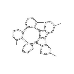 Cc1ccc2c(c1)c1c3cc(C)ccc3n3c4c(C)cccc4c4cccc(C)c4c4ccccc4n2c13